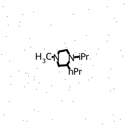 CCCC1CN(C)CCN1C(C)C